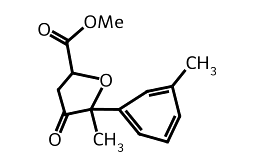 COC(=O)C1CC(=O)C(C)(c2cccc(C)c2)O1